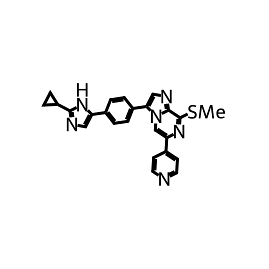 CSc1nc(-c2ccncc2)cn2c(-c3ccc(-c4cnc(C5CC5)[nH]4)cc3)cnc12